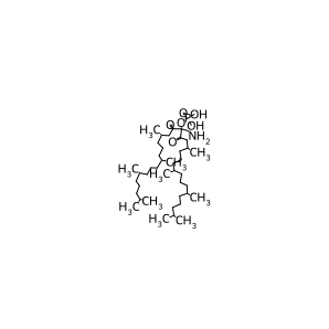 CC(C)CCCC(C)CCCC(C)CCCC(C)CC(=O)C(CN)(OP(=O)(O)O)C(=O)CC(C)CCCC(C)CCCC(C)CCCC(C)C